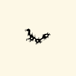 CCCc1cc(Cc2cc(F)c(F)c(C3=CCC(C)CC3)c2)cc(F)c1F